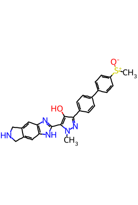 Cn1nc(-c2ccc(-c3ccc([S+](C)[O-])cc3)cc2)c(O)c1-c1nc2cc3c(cc2[nH]1)CNC3